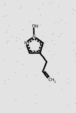 C=CCc1[c]n(O)nc1